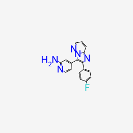 Nc1cc(-c2c(-c3ccc(F)cc3)nc3cccnn23)ccn1